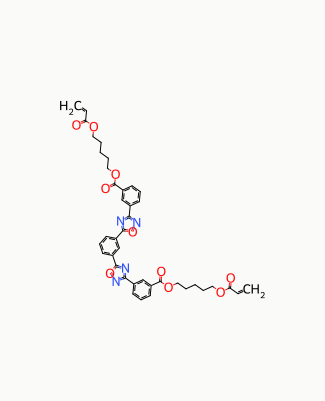 C=CC(=O)OCCCCCOC(=O)c1cccc(-c2noc(-c3cccc(-c4nc(-c5cccc(C(=O)OCCCCCOC(=O)C=C)c5)no4)c3)n2)c1